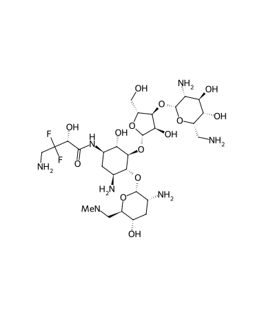 CNC[C@H]1O[C@H](O[C@H]2[C@H](O[C@@H]3O[C@H](CO)[C@@H](O[C@H]4O[C@@H](CN)[C@@H](O)[C@H](O)[C@H]4N)[C@H]3O)[C@@H](O)[C@H](NC(=O)[C@@H](O)C(F)(F)CN)C[C@@H]2N)[C@H](N)C[C@@H]1O